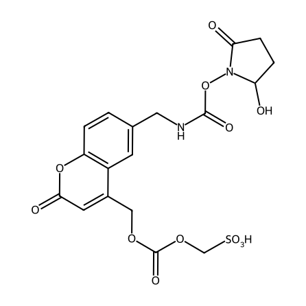 O=C(NCc1ccc2oc(=O)cc(COC(=O)OCS(=O)(=O)O)c2c1)ON1C(=O)CCC1O